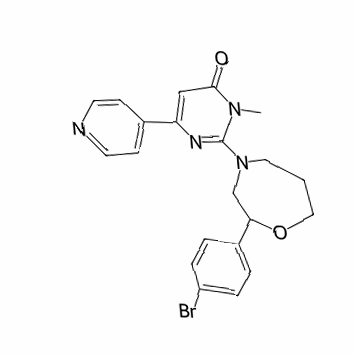 Cn1c(N2CCCOC(c3ccc(Br)cc3)C2)nc(-c2ccncc2)cc1=O